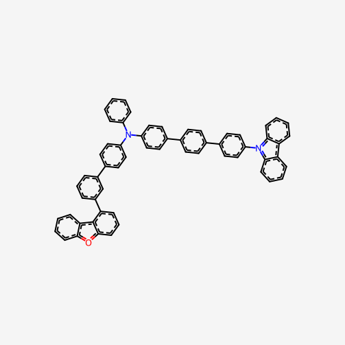 c1ccc(N(c2ccc(-c3ccc(-c4ccc(-n5c6ccccc6c6ccccc65)cc4)cc3)cc2)c2ccc(-c3cccc(-c4cccc5oc6ccccc6c45)c3)cc2)cc1